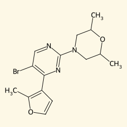 Cc1occc1-c1nc(N2CC(C)OC(C)C2)ncc1Br